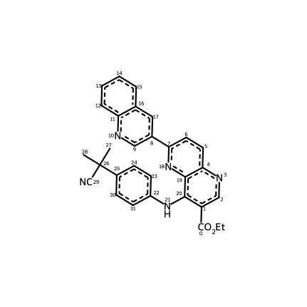 CCOC(=O)c1cnc2ccc(-c3cnc4ccccc4c3)nc2c1Nc1ccc(C(C)(C)C#N)cc1